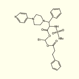 CCCCS(=O)(=O)NC(C(=O)OC(CC)OC(=O)CCc1ccccc1)C(c1ccccc1)N1CCN(c2ccncc2)CC1